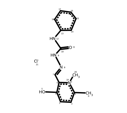 Cc1ccc(O)c(C=NNC(=O)Nc2ccccc2)[n+]1C.[Cl-]